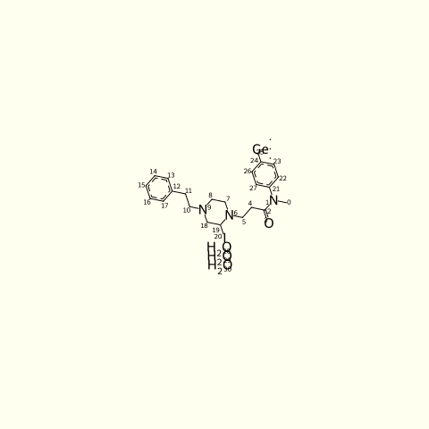 CN(C(=O)CCN1CCN(CCc2ccccc2)CC1I)c1cc[c]([Ge])cc1.O.O.O